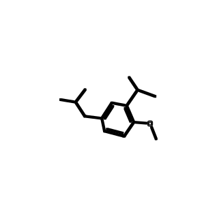 COc1ccc(CC(C)C)cc1C(C)C